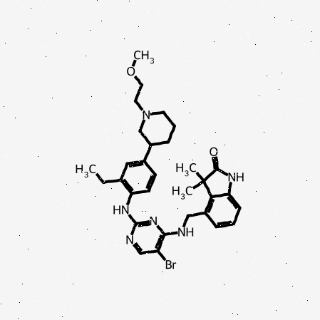 CCc1cc(C2CCCN(CCOC)C2)ccc1Nc1ncc(Br)c(NCc2cccc3c2C(C)(C)C(=O)N3)n1